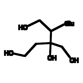 CC(C)(C)C(CO)C(O)(CO)CCO